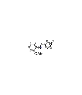 COc1ccccc1/N=C/c1cn(C)cn1